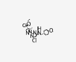 CCOC(=O)c1cnn(-c2nc(Cl)cc(NCc3ccc(OC)cc3)n2)c1C